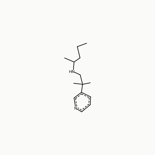 CCCC(C)NCC(C)(C)c1cccnc1